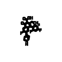 C=Cc1c(C(=O)O)c(=O)c2cc(F)c(N3CC4CC3CN4)cc2n1-c1ccc(F)cc1F